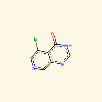 O=c1[nH]cnc2cncc(Br)c12